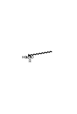 CCCCCCCCCCCCCCCCC1(C(=O)O)CC1=NO